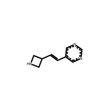 C(=C\C1CNC1)/c1cncnc1